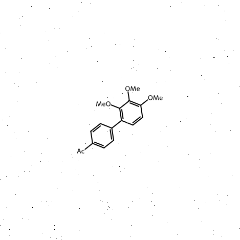 COc1ccc(-c2ccc(C(C)=O)cc2)c(OC)c1OC